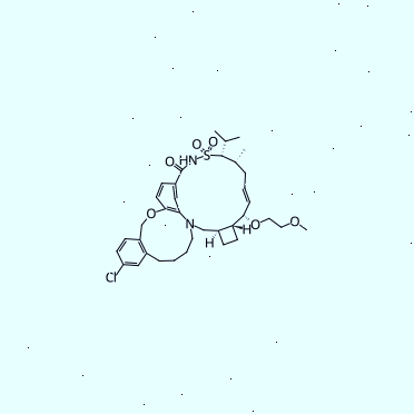 COCCO[C@H]1/C=C/C[C@@H](C)[C@@H](C(C)C)S(=O)(=O)NC(=O)c2ccc3c(c2)N(CCCCc2cc(Cl)ccc2CO3)C[C@@H]2CC[C@H]21